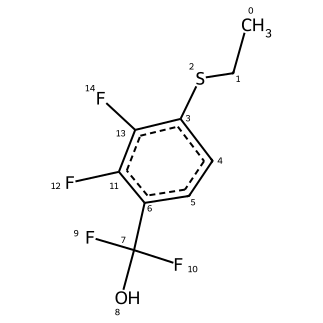 CCSc1ccc(C(O)(F)F)c(F)c1F